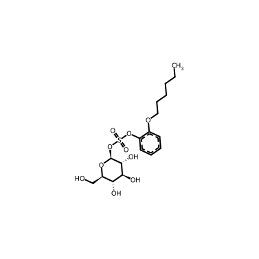 CCCCCCOc1ccccc1OS(=O)(=O)O[C@@H]1O[C@H](CO)[C@@H](O)[C@H](O)[C@H]1O